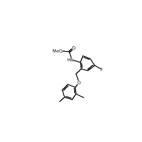 COC(=O)Nc1ccc(F)cc1COc1ccc(C)cc1C